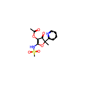 CC(=O)OC1=C(NS(C)(=O)=O)OC(C)(c2ccccn2)C1=O